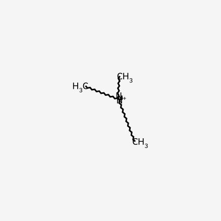 CCCCCCCCCCCCCCCCCC[n+]1ccn(CCCCCCCC)c1CCCCCCCCCCCCCC